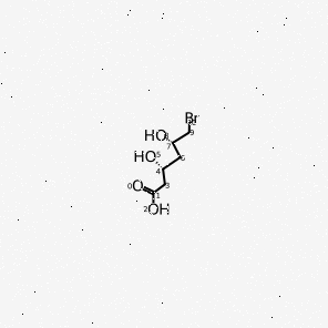 O=C(O)C[C@H](O)C[C@H](O)CBr